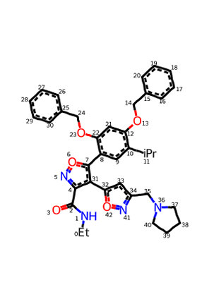 CCNC(=O)c1noc(-c2cc(C(C)C)c(OCc3ccccc3)cc2OCc2ccccc2)c1-c1cc(CN2CCCC2)no1